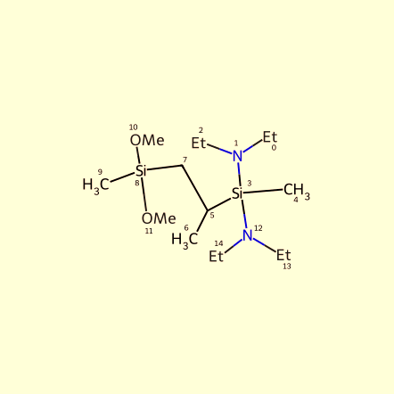 CCN(CC)[Si](C)(C(C)C[Si](C)(OC)OC)N(CC)CC